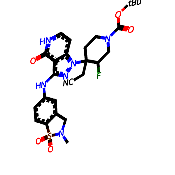 CN1Cc2cc(Nc3nn(C4(CC#N)CCN(C(=O)OC(C)(C)C)CC4F)c4cc[nH]c(=O)c34)ccc2S1(=O)=O